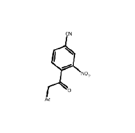 CC(=O)CC(=O)c1ccc(C#N)cc1[N+](=O)[O-]